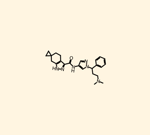 CN(C)CCC(c1ccccc1)n1cc(NC(=O)c2n[nH]c3c2CCC2(CC2)C3)cn1